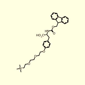 C[N+](C)(C)CCOCCOCCOc1ccc(C[C@H](NC(=O)OCC2c3ccccc3-c3ccccc32)C(=O)O)cc1